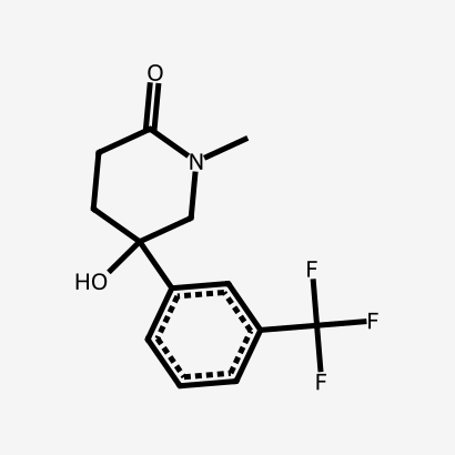 CN1CC(O)(c2cccc(C(F)(F)F)c2)CCC1=O